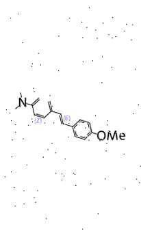 C=C(/C=C\C(=C)N(C)C)/C=C/c1ccc(OC)cc1